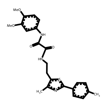 COc1ccc(NC(=O)C(=O)NCCc2sc(-c3ccc(C)cc3)nc2C)cc1OC